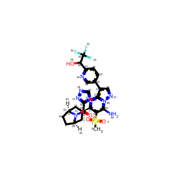 CS(=O)(=O)c1c([C@H]2C[C@H]3CC[C@@H](C2)N3C(=O)c2nnc[nH]2)nc2c(-c3ccc(C(O)C(F)(F)F)nc3)cnn2c1N